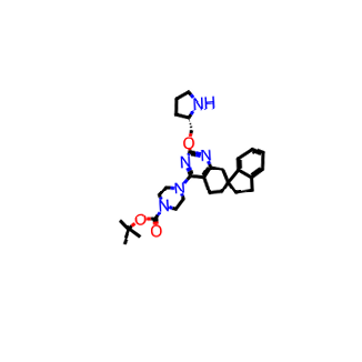 CC(C)(C)OC(=O)N1CCN(c2nc(OC[C@@H]3CCCN3)nc3c2CCC2(CCc4ccccc42)C3)CC1